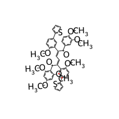 COc1cc(OC)c(C(=O)C(=CC=C(C(=O)c2ccc(OC)c(OC)c2)c2cc(-c3cccs3)ccc2OC)c2cc(-c3cccs3)ccc2OC)c(OC)c1